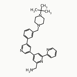 CC(C)(C)N1CCN(Cc2cccc(-c3cncc(-c4cc(CN)nc(-c5ccccn5)c4)c3)c2)CC1